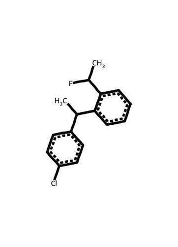 CC(F)c1ccccc1C(C)c1ccc(Cl)cc1